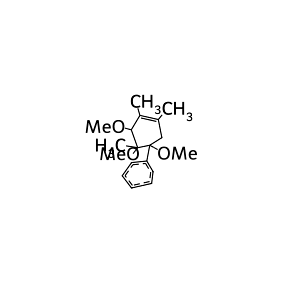 COC1C(C)=C(C)CC(OC)(c2ccccc2)C1(C)OC